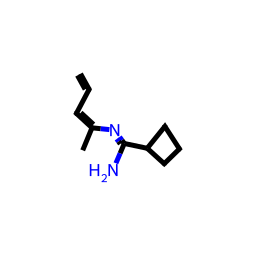 C=C/C=C(C)\N=C(/N)C1CCC1